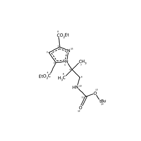 CCOC(=O)c1cc(C(=O)OCC)n(C(C)(C)CNC(=O)OC(C)(C)C)n1